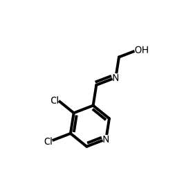 OC/N=C/c1cncc(Cl)c1Cl